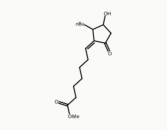 CCCCC1C(=CCCCCCC(=O)OC)C(=O)CC1O